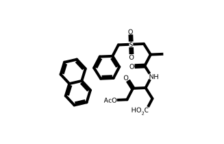 CC(=O)OCC(=O)C(CC(=O)O)NC(=O)C(C)CS(=O)(=O)Cc1ccccc1.c1ccc2ccccc2c1